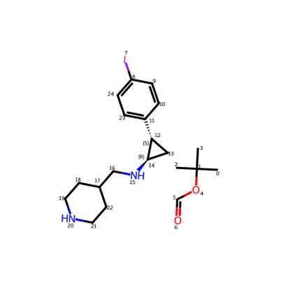 CC(C)(C)OC=O.Ic1ccc([C@@H]2C[C@H]2NCC2CCNCC2)cc1